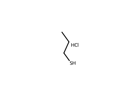 CCCS.Cl